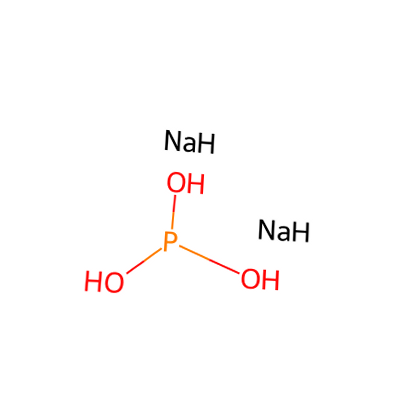 OP(O)O.[NaH].[NaH]